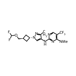 CNc1nc(Nc2cn([C@H]3C[C@H](COC(F)F)C3)nc2C)ncc1C(F)(F)F